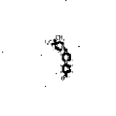 CCC1(CC)CCN(CC2CCN(c3ccc(C=O)cc3)CC2)CC1